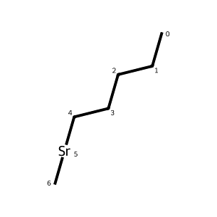 CCCC[CH2][Sr][CH3]